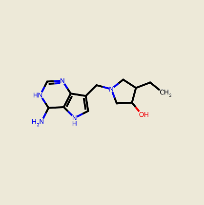 CCC1CN(Cc2c[nH]c3c2N=CNC3N)CC1O